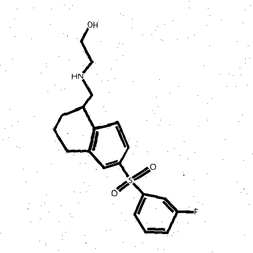 O=S(=O)(c1cccc(F)c1)c1ccc2c(c1)CCCC2CNCCO